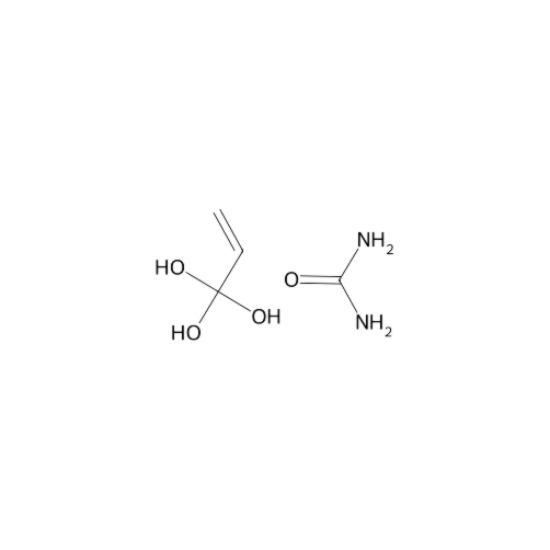 C=CC(O)(O)O.NC(N)=O